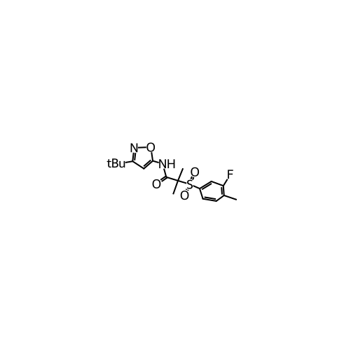 Cc1ccc(S(=O)(=O)C(C)(C)C(=O)Nc2cc(C(C)(C)C)no2)cc1F